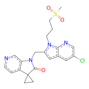 CS(=O)(=O)CCCn1c(CN2C(=O)C3(CC3)c3ccncc32)cc2cc(Cl)cnc21